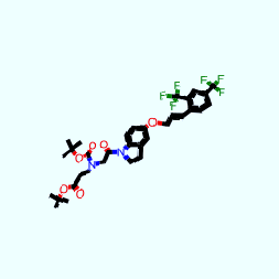 CC(C)(C)OC(=O)CCN(CC(=O)N1CCc2cc(OC/C=C/c3ccc(C(F)(F)F)cc3C(F)(F)F)ccc21)C(=O)OC(C)(C)C